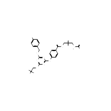 CC(C)(CNC(=O)O)CNC(=O)c1ccc(Nc2nc(NCc3ccc(O)cc3)nc(OCC(F)(F)F)n2)cc1